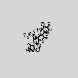 Cc1n[nH]c(Cl)c1NC(=O)c1cc(F)c(-c2ncc(F)c(=O)[nH]2)cc1O[C@@H](C)C(F)(F)F